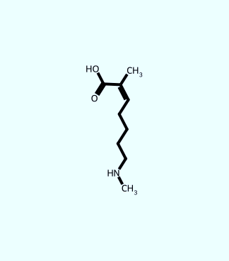 CNCCCCC=C(C)C(=O)O